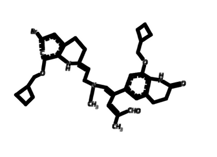 C/C(C=O)=C/C(=C\N(C)C/C=C1/CCc2cc(Br)cc(OCC3CCC3)c2N1)c1cc2c(c(OCC3CCC3)c1)NC(=O)CC2